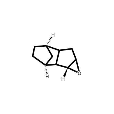 C1C2C([C@H]3CC[C@@H]2C3)[C@H]2OC12